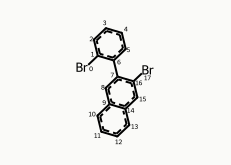 Brc1ccccc1-c1cc2ccccc2cc1Br